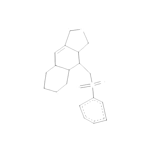 O=S(=O)(CC1C2COCC2=CC2CCCCC21)c1ccccc1